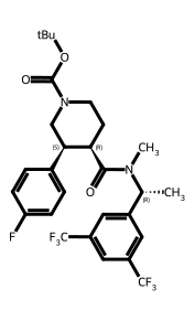 C[C@H](c1cc(C(F)(F)F)cc(C(F)(F)F)c1)N(C)C(=O)[C@@H]1CCN(C(=O)OC(C)(C)C)C[C@@H]1c1ccc(F)cc1